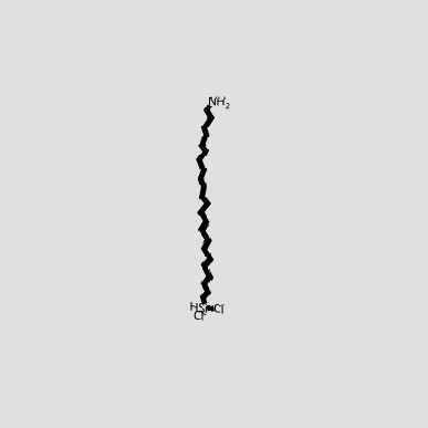 NCCCCCCCCCCCCCCCCCCCCCCC[SiH](Cl)Cl